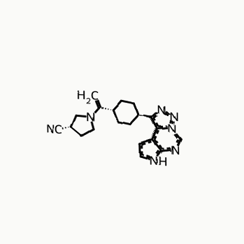 C=C([C@H]1CC[C@H](c2nnn3cnc4[nH]ccc4c23)CC1)N1CC[C@H](C#N)C1